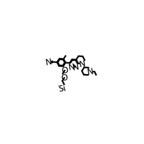 CCN1CCC[C@@H](N2CCCc3cc(-c4c(C)cc(C#N)cc4OCOCC[Si](C)(C)C)nnc32)C1